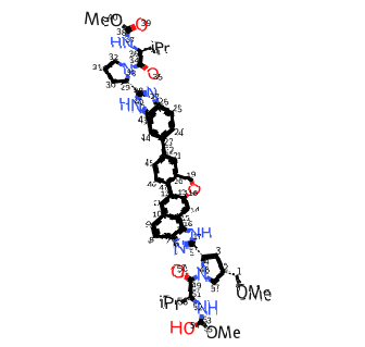 COC[C@H]1C[C@@H](c2nc3ccc4cc5c(cc4c3[nH]2)OCc2cc(-c3ccc4nc([C@@H]6CCCN6C(=O)[C@@H](NC(=O)OC)C(C)C)[nH]c4c3)ccc2-5)N(C(=O)[C@@H](NC(O)OC)C(C)C)C1